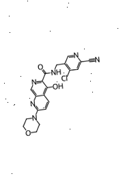 N#Cc1cc(Cl)c(CNC(=O)c2ncc3nc(N4CCOCC4)ccc3c2O)cn1